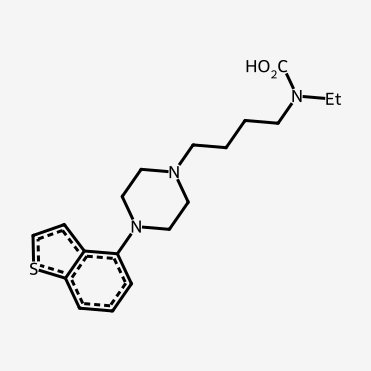 CCN(CCCCN1CCN(c2cccc3sccc23)CC1)C(=O)O